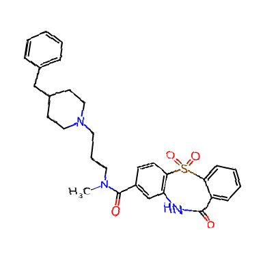 CN(CCCN1CCC(Cc2ccccc2)CC1)C(=O)c1ccc2c(c1)NC(=O)c1ccccc1S2(=O)=O